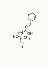 CC(C#N)(CCF)NC(O)OCc1ccccc1